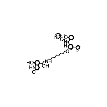 O=C(NC(c1ccccc1)c1cc(OCCCCCCCCCNC[C@@H](O)c2ccc(O)c3[nH]c(=O)ccc23)cc(-c2cccs2)c1)O[C@H]1CN2CCC1CC2